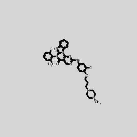 Cc1cccc(C)c1-n1c(=O)c2cnc(Nc3ccc(OCCCN4CCN(C)CC4)c(Cl)c3)nc2n2c3ccccc3nc12